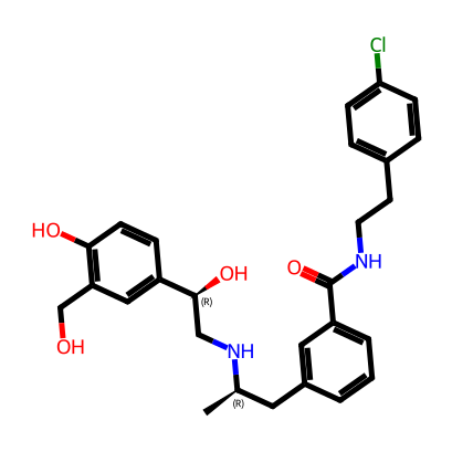 C[C@H](Cc1cccc(C(=O)NCCc2ccc(Cl)cc2)c1)NC[C@H](O)c1ccc(O)c(CO)c1